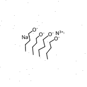 CCCC[O-].CCCC[O-].CCCC[O-].CCCC[O-].[N+3].[Na+]